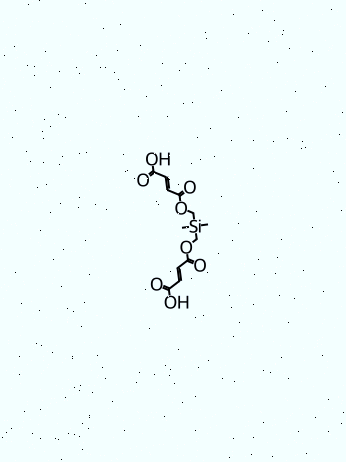 C[Si](C)(COC(=O)C=CC(=O)O)COC(=O)C=CC(=O)O